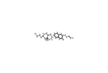 C/C=C/CCc1cc2ccc([C@@H]3CC[C@@H]4CC(CCCC)CCC4C3)cc2cc1F